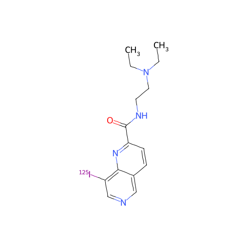 CCN(CC)CCNC(=O)c1ccc2cncc([125I])c2n1